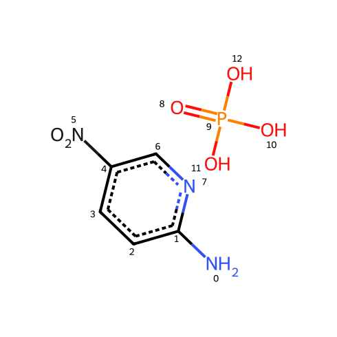 Nc1ccc([N+](=O)[O-])cn1.O=P(O)(O)O